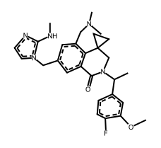 CNc1nccn1Cc1cc(CN(C)C)c2c(c1)C(=O)N(C(C)c1ccc(F)c(OC)c1)CC21CC1